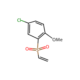 C=CS(=O)(=O)c1cc(Cl)ccc1OC